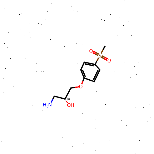 CS(=O)(=O)c1ccc(OC[C@H](O)CN)cc1